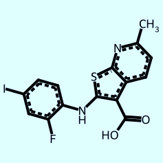 Cc1ccc2c(C(=O)O)c(Nc3ccc(I)cc3F)sc2n1